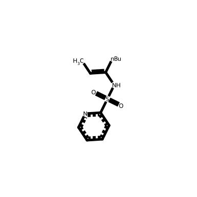 CC=C(CCCC)NS(=O)(=O)c1ccccn1